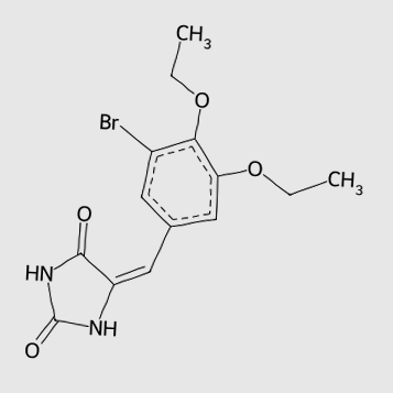 CCOc1cc(/C=C2/NC(=O)NC2=O)cc(Br)c1OCC